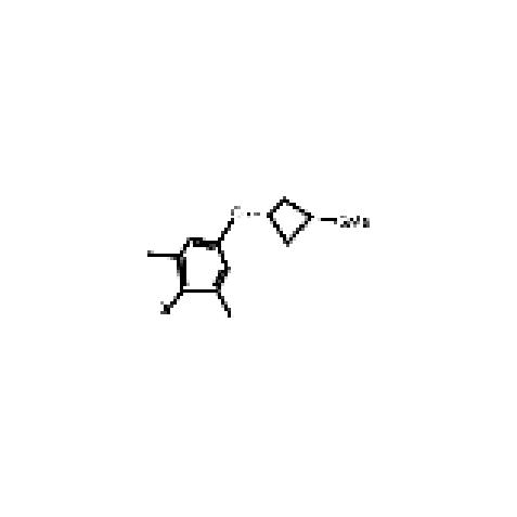 CS[C@H]1C[C@H](Oc2cc(C)c(Br)c(C)c2)C1